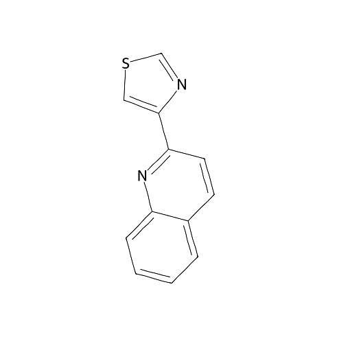 c1ccc2nc(-c3cscn3)ccc2c1